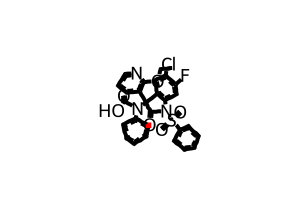 CCOc1ncccc1C1(N(C(=O)O)c2ccccc2)C(=O)N(S(=O)(=O)c2ccccc2)c2cc(F)c(Cl)cc21